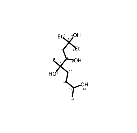 CCC(O)(CC)CC(O)C(C)(O)CCC(C)O